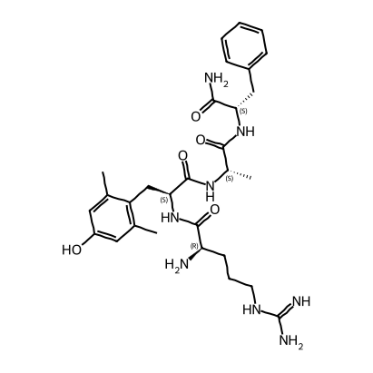 Cc1cc(O)cc(C)c1C[C@H](NC(=O)[C@H](N)CCCNC(=N)N)C(=O)N[C@@H](C)C(=O)N[C@@H](Cc1ccccc1)C(N)=O